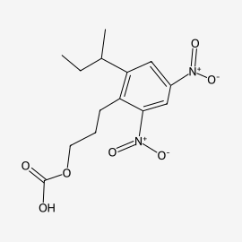 CCC(C)c1cc([N+](=O)[O-])cc([N+](=O)[O-])c1CCCOC(=O)O